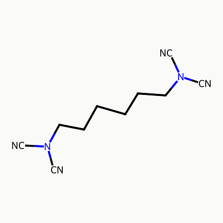 N#CN(C#N)CCCCCCN(C#N)C#N